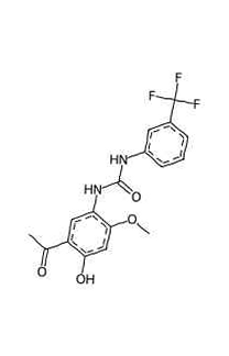 COc1cc(O)c(C(C)=O)cc1NC(=O)Nc1cccc(C(F)(F)F)c1